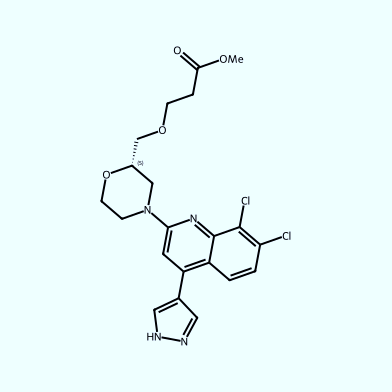 COC(=O)CCOC[C@@H]1CN(c2cc(-c3cn[nH]c3)c3ccc(Cl)c(Cl)c3n2)CCO1